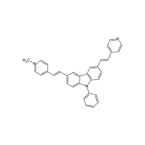 C[n+]1ccc(/C=C/c2ccc3c(c2)c2cc(/C=C/c4ccncc4)ccc2n3-c2ccccc2)cc1